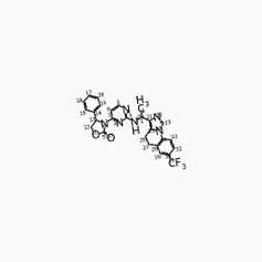 C[C@H](Nc1nccc(N2C(=O)OCC2c2ccccc2)n1)c1ncn2c1CCc1cc(C(F)(F)F)ccc1-2